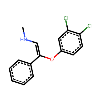 CNC=C(Oc1ccc(Cl)c(Cl)c1)c1ccccc1